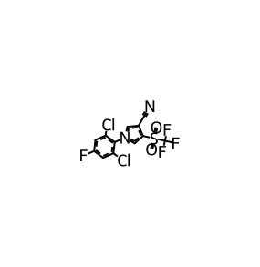 N#Cc1cn(-c2c(Cl)cc(F)cc2Cl)cc1S(=O)(=O)C(F)(F)F